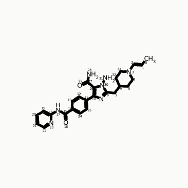 CC=CN1CCC(Cc2nc(-c3ccc(C(=O)Nc4ccccn4)cc3)c(C(N)=O)n2N)CC1